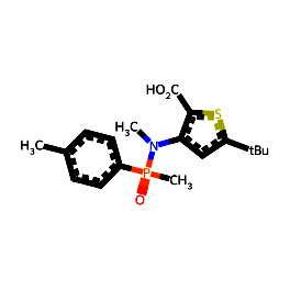 Cc1ccc(P(C)(=O)N(C)c2cc(C(C)(C)C)sc2C(=O)O)cc1